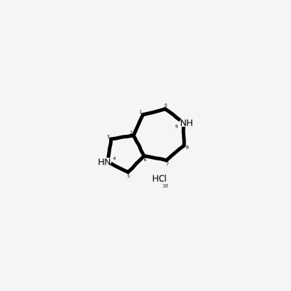 C1CC2CNCC2CCN1.Cl